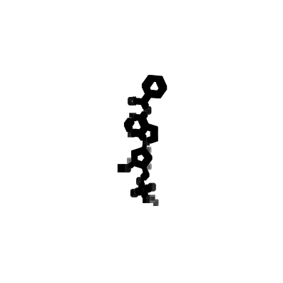 NS(=O)(=O)OC[C@@H]1C[C@@H](n2ccc3c(OC(Cl)c4ccccc4)ncnc32)C[C@@H]1O